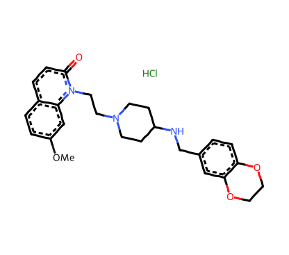 COc1ccc2ccc(=O)n(CCN3CCC(NCc4ccc5c(c4)OCCO5)CC3)c2c1.Cl